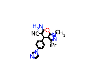 CC(C)c1nn(C)c2c1C(c1ccc(-n3ccnc3)cc1)C(C#N)=C(N)O2